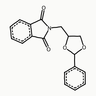 O=C1c2ccccc2C(=O)N1CC1COC(c2ccccc2)O1